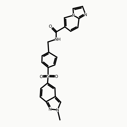 Cn1cc2cc(S(=O)(=O)c3ccc(CNC(=O)c4ccc5nccn5c4)cc3)ccc2n1